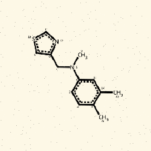 Cc1ccc(N(C)Cc2cs[c]n2)cc1C